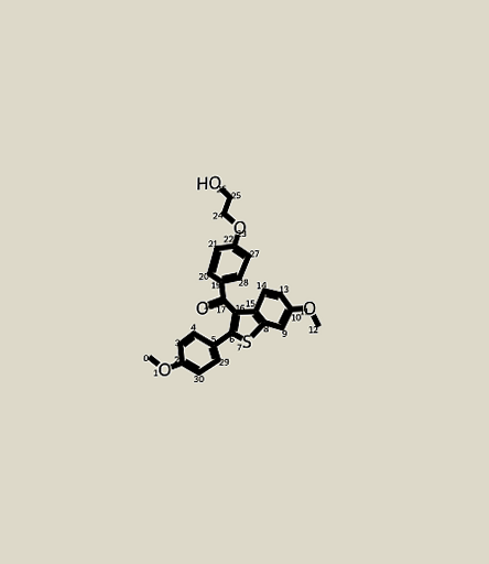 COc1ccc(-c2sc3cc(OC)ccc3c2C(=O)c2ccc(OCCO)cc2)cc1